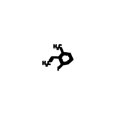 C=Cc1c(C)cccc1I